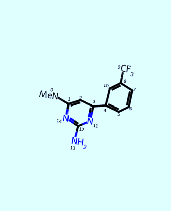 CNc1cc(-c2cccc(C(F)(F)F)c2)nc(N)n1